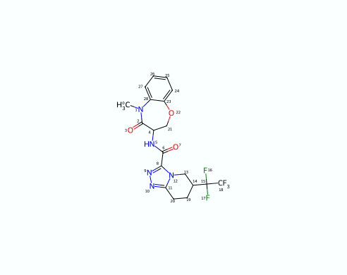 CN1C(=O)C(NC(=O)c2nnc3n2CC(C(F)(F)C(F)(F)F)CC3)COc2ccccc21